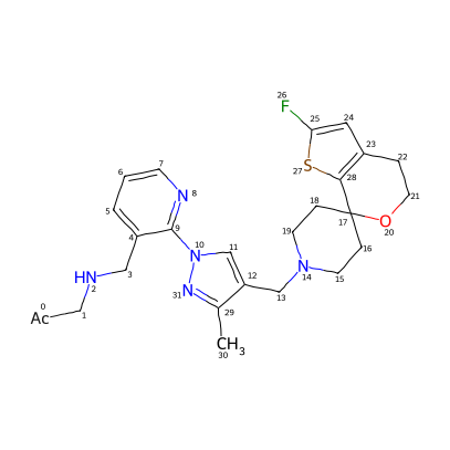 CC(=O)CNCc1cccnc1-n1cc(CN2CCC3(CC2)OCCc2cc(F)sc23)c(C)n1